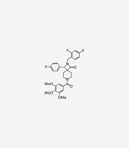 COc1cc(C(=O)N2CCC3(CC2)C(=O)N(Cc2ccc(F)cc2F)C3c2ccc(F)cc2)cc(OC)c1OC